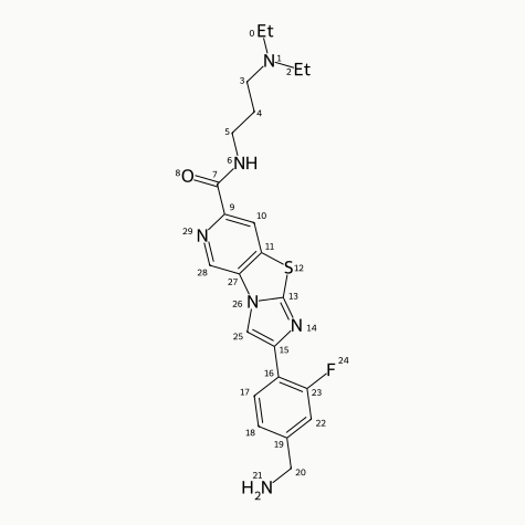 CCN(CC)CCCNC(=O)c1cc2sc3nc(-c4ccc(CN)cc4F)cn3c2cn1